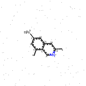 CCCc1cc(C)c2cnc(C)cc2c1